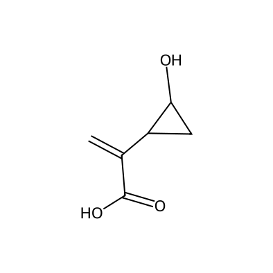 C=C(C(=O)O)C1CC1O